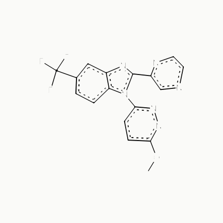 COc1ccc(-n2c(-c3cnccn3)nc3cc(C(F)(F)F)ccc32)nn1